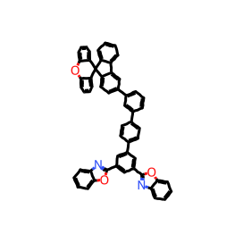 c1cc(-c2ccc(-c3cc(-c4nc5ccccc5o4)cc(-c4nc5ccccc5o4)c3)cc2)cc(-c2ccc3c(c2)-c2ccccc2C32c3ccccc3Oc3ccccc32)c1